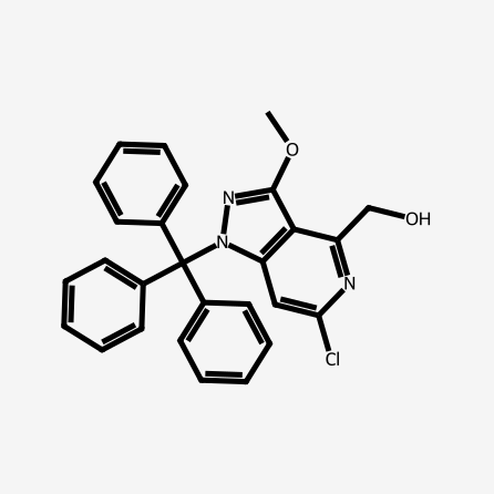 COc1nn(C(c2ccccc2)(c2ccccc2)c2ccccc2)c2cc(Cl)nc(CO)c12